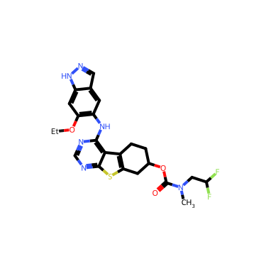 CCOc1cc2[nH]ncc2cc1Nc1ncnc2sc3c(c12)CCC(OC(=O)N(C)CC(F)F)C3